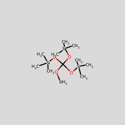 C[Si](C)(C)OC(O[SiH3])(O[Si](C)(C)C)O[Si](C)(C)C